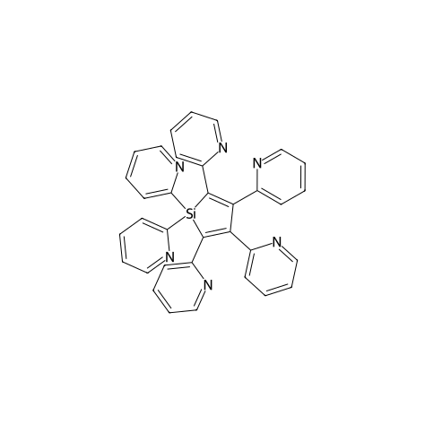 c1ccc(C2=C(c3ccccn3)[Si](c3ccccn3)(c3ccccn3)C(c3ccccn3)=C2c2ccccn2)nc1